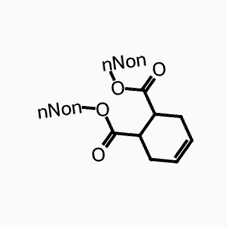 CCCCCCCCCOC(=O)C1CC=CCC1C(=O)OCCCCCCCCC